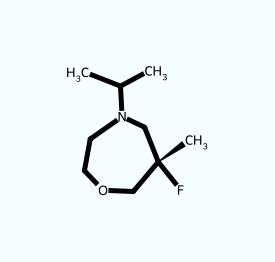 CC(C)N1CCOC[C@@](C)(F)C1